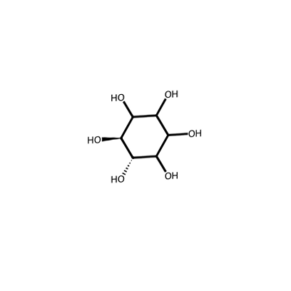 OC1C(O)C(O)[C@H](O)[C@@H](O)C1O